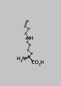 C=CCCNCCCC[C@H](N)C(=O)O